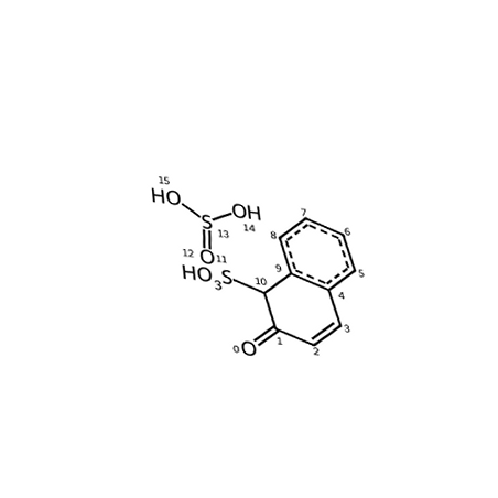 O=C1C=Cc2ccccc2C1S(=O)(=O)O.O=S(O)O